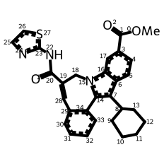 COC(=O)c1ccc2c(C3CCCCC3)c3n(c2c1)CC(C(=O)Nc1nccs1)=Cc1ccccc1-3